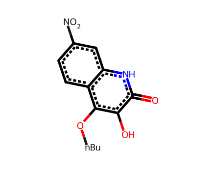 CCCCOc1c(O)c(=O)[nH]c2cc([N+](=O)[O-])ccc12